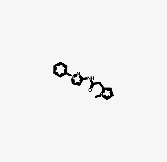 Cn1cccc1CC(=O)Nc1ccn(-c2ccccc2)n1